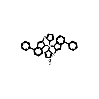 CC1=Cc2c(-c3ccccc3)cccc2[CH]1[Zr]([CH]1C=CC=C1)([CH]1C=CC=C1)[CH]1C(C)=Cc2c(-c3ccccc3)cccc21.[Cl-].[Cl-]